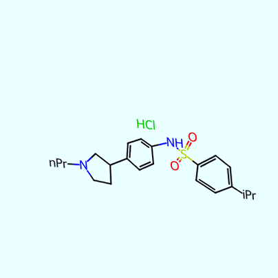 CCCN1CCC(c2ccc(NS(=O)(=O)c3ccc(C(C)C)cc3)cc2)C1.Cl